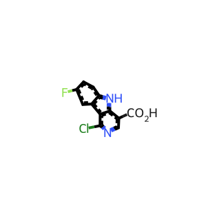 O=C(O)c1cnc(Cl)c2c1[nH]c1ccc(F)cc12